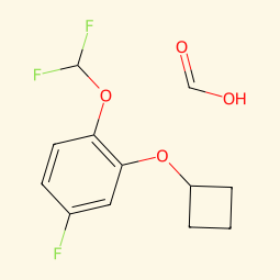 Fc1ccc(OC(F)F)c(OC2CCC2)c1.O=CO